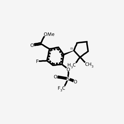 COC(=O)c1cc([C@H]2CCCC2(C)C)c(OS(=O)(=O)C(F)(F)F)cc1F